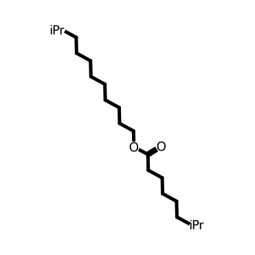 CC(C)CCCCCCCCCOC(=O)CCCCCC(C)C